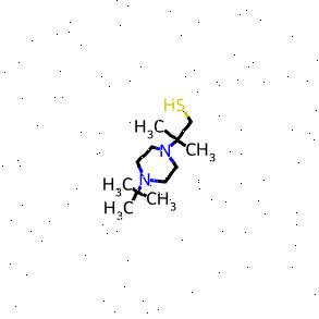 CC(C)(C)N1CCN(C(C)(C)CS)CC1